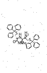 CNC(=O)[C@H](CSC(c1ccccc1)(c1ccccc1)c1ccccc1)NC(=O)[C@@H](N)CSC(c1ccccc1)(c1ccccc1)c1ccccc1